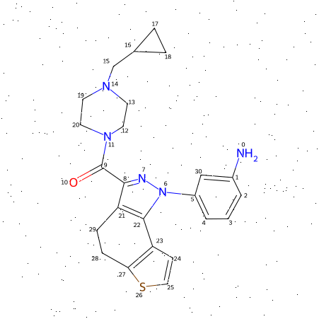 Nc1cccc(-n2nc(C(=O)N3CCN(CC4CC4)CC3)c3c2-c2ccsc2CC3)c1